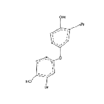 CC(C)c1cc(Oc2ccc(O)c(Br)c2)ccc1O